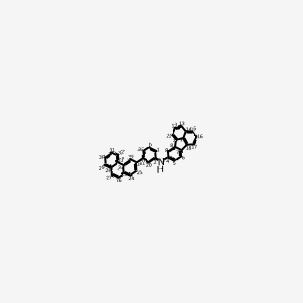 c1cc(Nc2ccc3c(c2)-c2cccc4cccc-3c24)cc(-c2ccc3ccc4ccccc4c3c2)c1